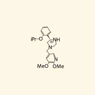 COc1cc(CN2CCN[C@H](c3ccccc3OC(C)C)C2)cnc1OC